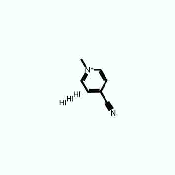 C[n+]1ccc(C#N)cc1.I.I.I